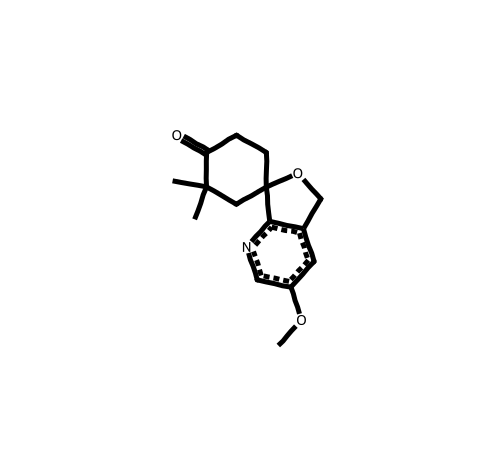 COc1cnc2c(c1)COC21CCC(=O)C(C)(C)C1